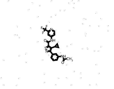 CC(=O)Nc1cccc(-c2nsc(C(=O)Nc3ccnc(C(F)(F)F)c3)c2C2CC2)c1